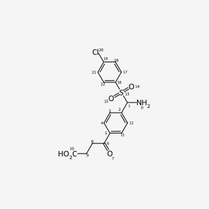 NC(c1ccc(C(=O)CCC(=O)O)cc1)S(=O)(=O)c1ccc(Cl)cc1